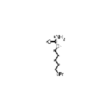 CC(C)CCCCCOC(N)=O